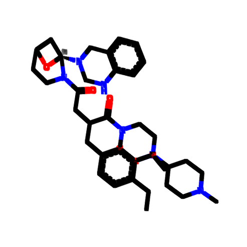 CCc1ccc(CC(CC(=O)N2CCC3C[C@]2(N2CNc4ccccc4C2)O3)C(=O)N2CCN(C3CCN(C)CC3)CC2)cc1CC